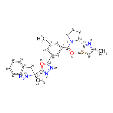 Cc1cc(C(=O)N2CCC[C@@H]2c2nc(C)cs2)cc(-c2nnc([C@](C)(N)Cc3ccccc3)o2)c1